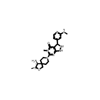 CNc1cc(C2NNc3nc(N4CCC5(CC4)CO[C@@H](C)[C@H]5N)n(C)c(=O)c32)ccn1